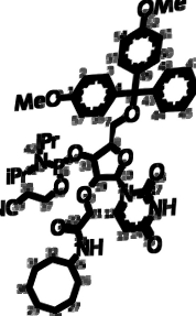 COc1ccc(C(OC[C@H]2O[C@@H](n3ccc(=O)[nH]c3=O)C(OCC(=O)NC3CCCCCCC3)C2OP(OCCC#N)N(C(C)C)C(C)C)(c2ccccc2)c2ccc(OC)cc2)cc1